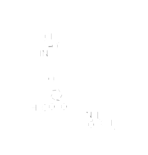 C=CC(=O)NCCCCOCc1ccc(OCCCCNC(=O)C=C)c(OC)c1